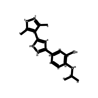 Cc1noc(C)c1-c1nc(-c2ccc(OC(C)C)c(Cl)c2)no1